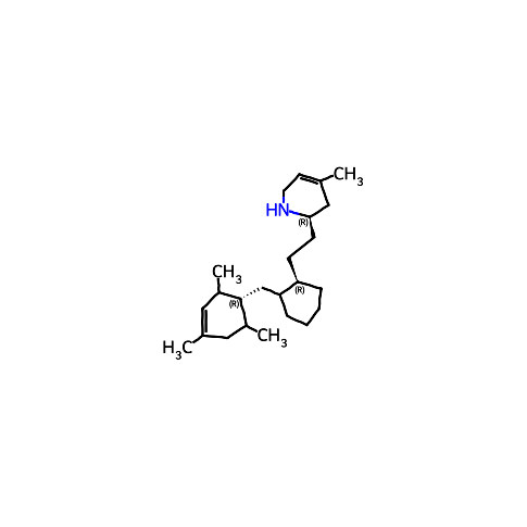 CC1=CC(C)[C@H](CC2CCCC[C@@H]2CC[C@@H]2CC(C)=CCN2)C(C)C1